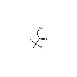 O=C([O][Mo])C(F)(F)F